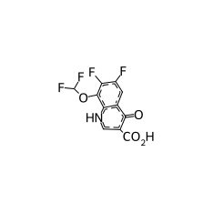 O=C(O)c1c[nH]c2c(OC(F)F)c(F)c(F)cc2c1=O